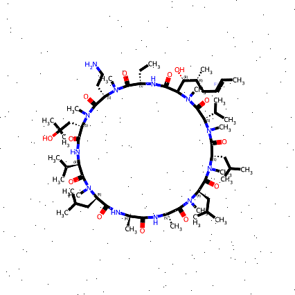 C/C=C/C[C@@H](C)[C@@H](O)C1C(=O)N[C@@H](CC)C(=O)N(C)[C@@H](CCN)C(=O)N(C)[C@@H](CC(C)(C)O)C(=O)N[C@H](C(C)C)C(=O)N(C)[C@H](CC(C)C)C(=O)N[C@H](C)C(=O)N[C@@H](C)C(=O)N(C)[C@H](CC(C)C)C(=O)N(C)[C@@H](CC(C)C)C(=O)N(C)[C@@H](C(C)C)C(=O)N1C